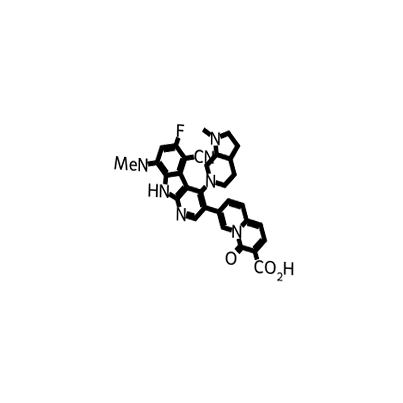 CNc1cc(F)c(C#N)c2c1[nH]c1ncc(-c3ccc4ccc(C(=O)O)c(=O)n4c3)c(N3CCC4CCN(C)C4C3)c12